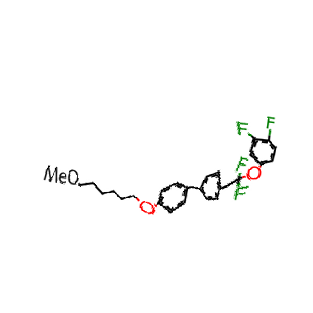 COCCCCCCOc1ccc(-c2ccc(C(F)(F)Oc3ccc(F)c(F)c3)cc2)cc1